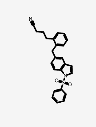 N#CCCCc1ccccc1Cc1ccc2c(ccn2S(=O)(=O)c2ccccc2)c1